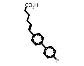 O=C(O)CCCC=Cc1ccc(-c2ccc(F)cc2)cc1